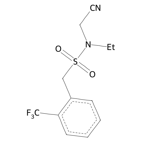 CCN(CC#N)S(=O)(=O)Cc1ccccc1C(F)(F)F